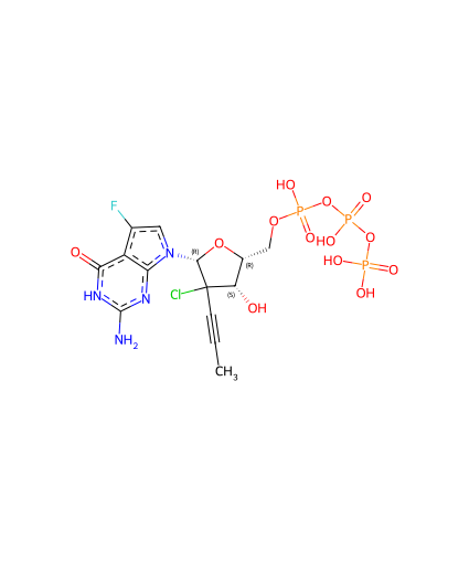 CC#CC1(Cl)[C@@H](O)[C@@H](COP(=O)(O)OP(=O)(O)OP(=O)(O)O)O[C@H]1n1cc(F)c2c(=O)[nH]c(N)nc21